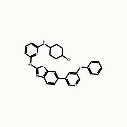 OC1CCC(Nc2cccc(Nc3nc4ccc(-c5cncc(Oc6ccccc6)c5)cc4s3)n2)CC1